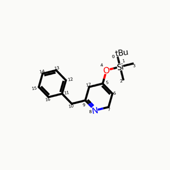 CC(C)(C)[Si](C)(C)OC1=CCN=C(Cc2ccccc2)C1